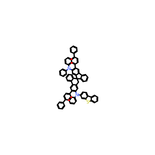 c1ccc(-c2ccc(-c3cc4c(cc3N(c3ccccc3)c3ccc5c(c3)sc3ccccc35)CC3(c5ccccc5-4)c4ccccc4-c4cc(-c5ccc(-c6ccccc6)cc5)c(N(c5ccccc5)c5ccccc5)cc43)cc2)cc1